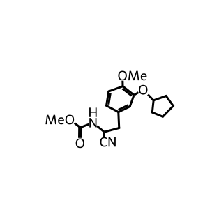 COC(=O)NC(C#N)Cc1ccc(OC)c(OC2CCCC2)c1